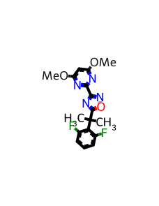 COc1cc(OC)nc(-c2noc(C(C)(C)c3c(F)cccc3F)n2)n1